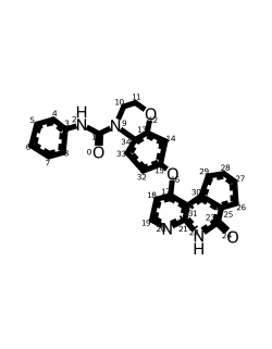 O=C(Nc1ccccc1)N1CCOc2cc(Oc3ccnc4[nH]c(=O)c5ccccc5c34)ccc21